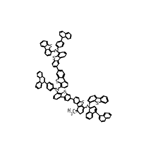 C[C@@H]1CC=C(N(c2ccc(-c3cccc4ccccc34)c3ccccc23)c2cccc3c2sc2ccccc23)c2sc3ccc(-c4ccc5c(c4)sc4c(N(c6ccc(-c7cc8ccccc8c8ccccc78)cc6)c6cccc7c6sc6cc(-c8ccc9sc%10c(N(c%11ccc(-c%12cccc%13ccccc%12%13)cc%11)c%11cccc%12c%11sc%11ccccc%11%12)cccc%10c9c8)ccc67)cccc45)cc3c21